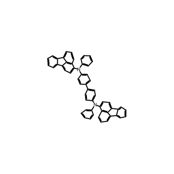 c1ccc(N(c2ccc(-c3ccc(N(c4ccccc4)c4ccc5c6c(cccc46)-c4ccccc4-5)cc3)cc2)c2ccc3c4c(cccc24)-c2ccccc2-3)cc1